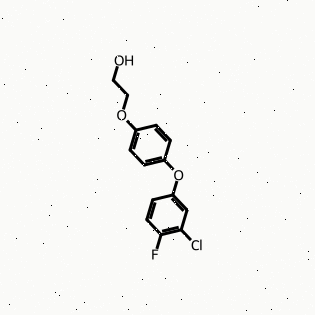 OCCOc1ccc(Oc2ccc(F)c(Cl)c2)cc1